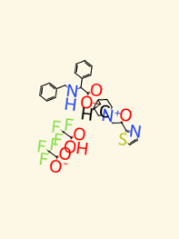 O=C(C[N+]12CCC(CC1)[C@@H](OC(=O)C(NCc1ccccc1)c1ccccc1)C2)c1nccs1.O=C(O)C(F)(F)F.O=C([O-])C(F)(F)F